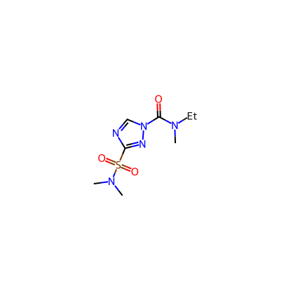 CCN(C)C(=O)n1cnc(S(=O)(=O)N(C)C)n1